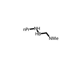 CCCNBCNC